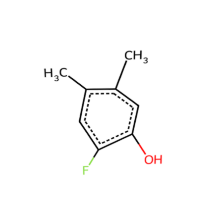 Cc1cc(O)c(F)cc1C